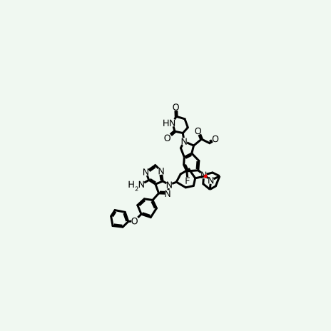 Nc1ncnc2c1c(-c1ccc(Oc3ccccc3)cc1)nn2C1CCC(CN2C3CC2CN(c2cc4c(cc2F)CN(C2CCC(=O)NC2=O)C4C(=O)C=O)C3)CC1